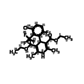 CCOC(=O)C1=C(C)NC(C)=C(C(=O)OCC)C1c1c(F)ccc(Cl)c1C(F)(F)F